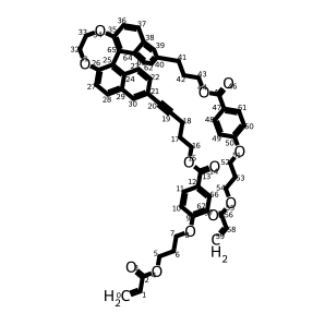 C=CC(=O)OCCCOc1ccc(C(=O)OCCCC#Cc2ccc3c4c(ccc3c2)OCCOc2ccc3cc(CCCOC(=O)c5ccc(OCCCOC(=O)C=C)cc5)ccc3c2-4)cc1